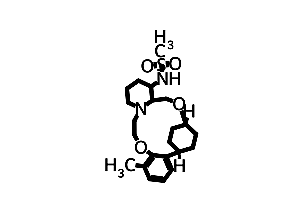 Cc1cccc2c1OCCN1CCCC(NS(C)(=O)=O)C1CO[C@H]1CC[C@@H]2CC1